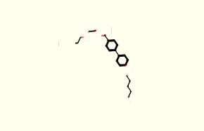 CCCCCCOc1ccc(-c2ccc(C(C)OC(=O)C(C)OCCC)cc2)cc1